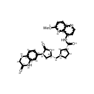 COc1ccc2nccc(NC(=O)[C@@H]3CCN(C[C@@H]4CN(c5ccc6c(c5)NC(=O)CS6)C(=O)O4)C3)c2n1